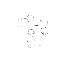 Cc1c(C(=C2C(=O)Nc3ccccc32)c2cccc(Br)c2)c(C(=O)O)cn1C(C(N)=O)N1CCCC1